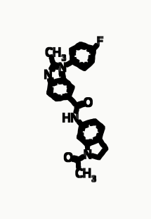 CC(=O)N1CCc2ccc(NC(=O)c3ccc4nc(C)n(-c5ccc(F)cc5)c4c3)cc21